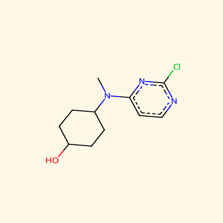 CN(c1ccnc(Cl)n1)C1CCC(O)CC1